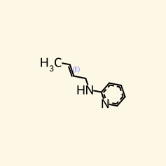 C/C=C/CNc1ccccn1